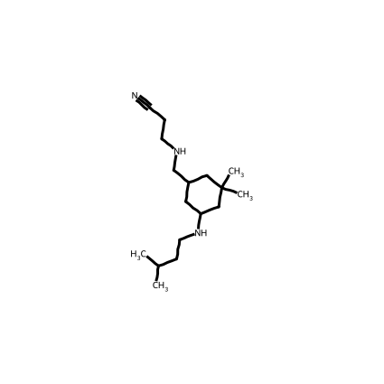 CC(C)CCNC1CC(CNCCC#N)CC(C)(C)C1